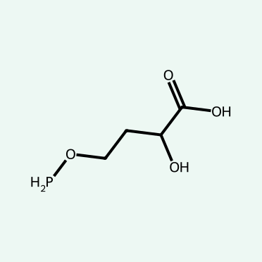 O=C(O)C(O)CCOP